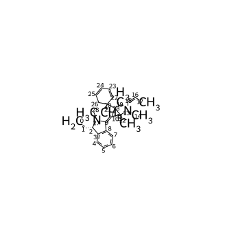 C=C[C@H]1c2ccccc2/C(=C2\C(C)(N(C)/C=C\C)C2(C)C2(C)C=CC=CC2)N1C